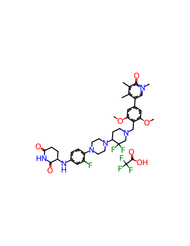 COc1cc(-c2cn(C)c(=O)c(C)c2C)cc(OC)c1CN1CCC(N2CCN(c3ccc(NC4CCC(=O)NC4=O)cc3F)CC2)C(F)(F)C1.O=C(O)C(F)(F)F